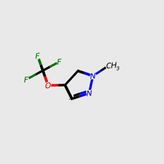 CN1CC(OC(F)(F)F)[C]=N1